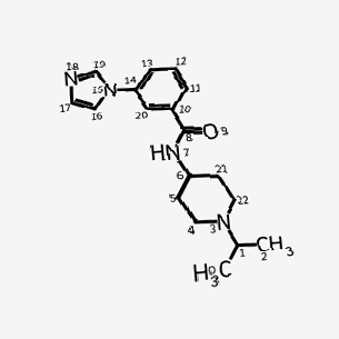 CC(C)N1CCC(NC(=O)c2cccc(-n3ccnc3)c2)CC1